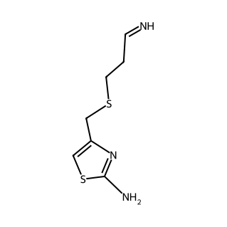 N=CCCSCc1csc(N)n1